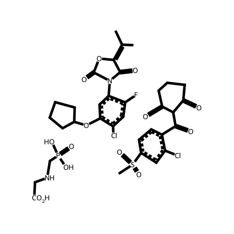 CC(C)=C1OC(=O)N(c2cc(OC3CCCC3)c(Cl)cc2F)C1=O.CS(=O)(=O)c1ccc(C(=O)C2C(=O)CCCC2=O)c(Cl)c1.O=C(O)CNCP(=O)(O)O